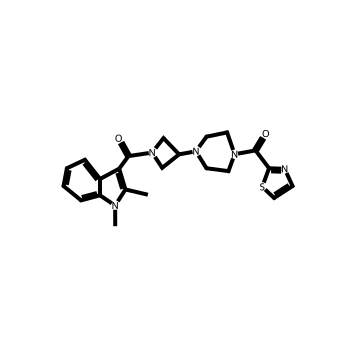 Cc1c(C(=O)N2CC(N3CCN(C(=O)c4nccs4)CC3)C2)c2ccccc2n1C